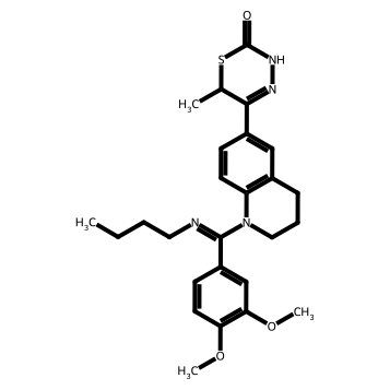 CCCCN=C(c1ccc(OC)c(OC)c1)N1CCCc2cc(C3=NNC(=O)SC3C)ccc21